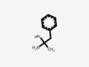 CCCC(C)(N)Cc1ccccc1